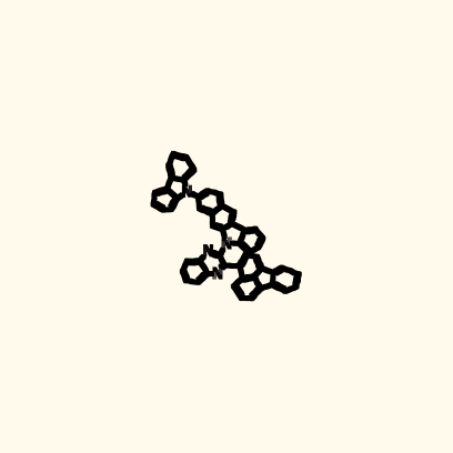 c1ccc2c(c1)-c1cccc3c(-c4nc5ccccc5nc4-n4c5ccccc5c5cc6ccc(-n7c8ccccc8c8ccccc87)cc6cc54)ccc-2c13